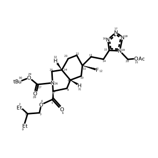 CCC(CC)COC(=O)[C@@H]1C[C@H]2C[C@@](F)(CCc3nnnn3COC(C)=O)CC[C@H]2CN1C(=O)OC(C)(C)C